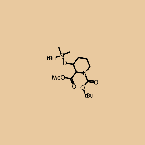 COC(=O)C1C(O[Si](C)(C)C(C)(C)C)CCCN1C(=O)OC(C)(C)C